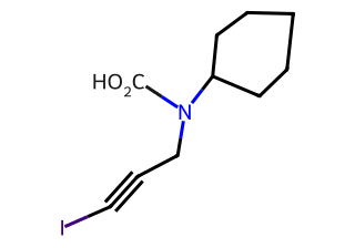 O=C(O)N(CC#CI)C1CCCCC1